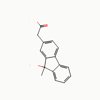 CC1(O)c2ccccc2-c2ccc(CC(=O)O)cc21